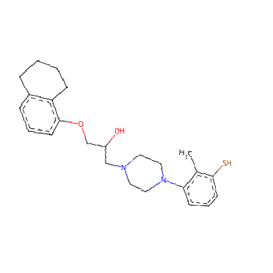 Cc1c(S)cccc1N1CCN(CC(O)COc2cccc3c2CCCC3)CC1